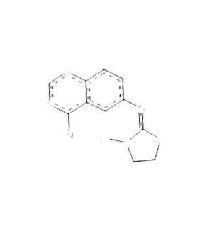 CN1CCSC1=Nc1ccc2ncnc(N)c2c1